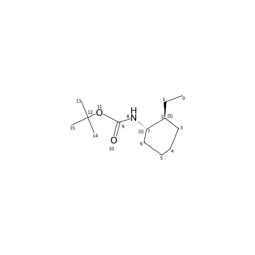 CC[C@H]1CCCC[C@@H]1NC(=O)OC(C)(C)C